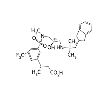 CC(CC(=O)O)c1cc(C(F)(F)F)cc(S(=O)(=O)N(C)C[C@H](O)CNC(C)(C)CC2Cc3ccccc3C2)c1